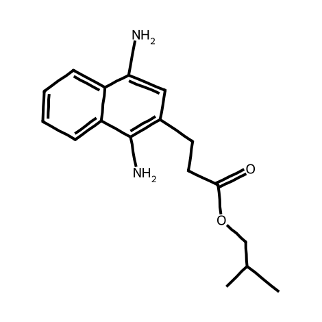 CC(C)COC(=O)CCc1cc(N)c2ccccc2c1N